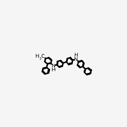 CC1C=CC(Nc2ccc(-c3ccc(Nc4ccc(-c5ccccc5)cc4)cc3)cc2)=C(c2ccccc2)C1